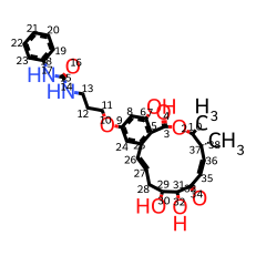 CC1OC(=O)c2c(O)cc(OCCCNC(=O)Nc3ccccc3)cc2/C=C/CC(O)C(O)C(=O)/C=C\[C@H]1C